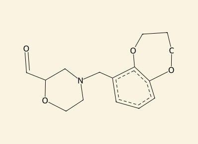 O=CC1CN(Cc2cccc3c2OCCCO3)CCO1